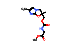 CC(C)(C)OC(=O)CNC(=O)OCC1(C)Cn2cc([N+](=O)[O-])nc2O1